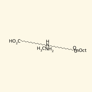 CCCCCCCCOC(=O)CCCCCCCCCCCCCCCNC(CCCCCCCCCCCCCCCC(=O)O)C(C)N